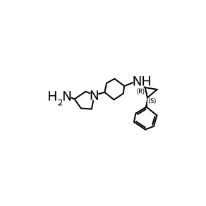 NC1CCN(C2CCC(N[C@@H]3C[C@H]3c3ccccc3)CC2)C1